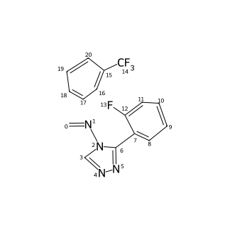 C=Nn1cnnc1-c1ccccc1F.FC(F)(F)c1ccccc1